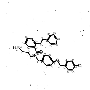 NCCCN(Cc1ccc(OCc2ccc(Cl)cc2)cc1)C(=O)c1ccccc1CCc1ccccc1